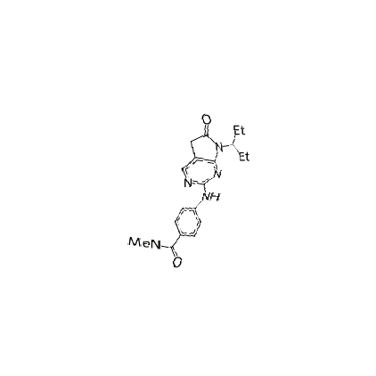 CCC(CC)N1C(=O)Cc2cnc(Nc3ccc(C(=O)NC)cc3)nc21